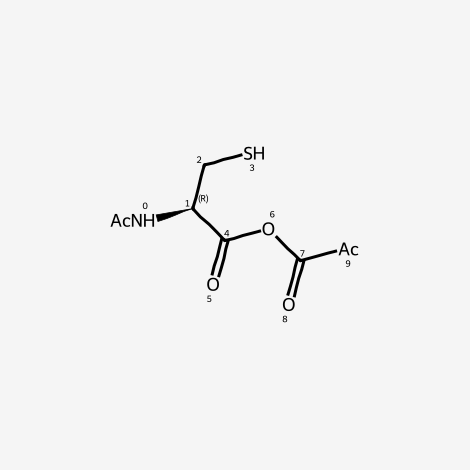 CC(=O)N[C@@H](CS)C(=O)OC(=O)C(C)=O